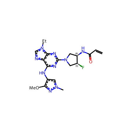 C=CC(=O)N[C@@H]1CN(c2nc(Nc3cn(C)nc3OC)c3ncn(CC)c3n2)C[C@@H]1F